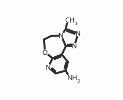 Cc1nnc2n1CCOc1ncc(N)cc1-2